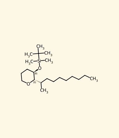 CCCCCCCCC(C)[C@@H]1OCCC[C@H]1O[Si](C)(C)C(C)(C)C